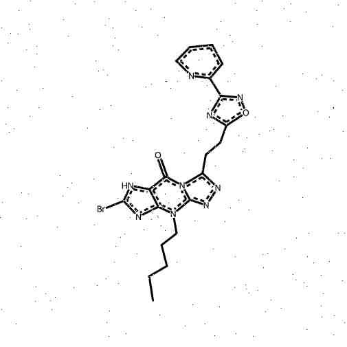 CCCCCn1c2nc(Br)[nH]c2c(=O)n2c(CCc3nc(-c4ccccn4)no3)nnc12